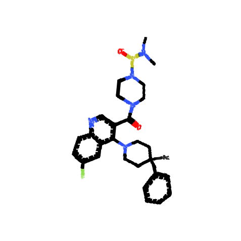 CC(=O)C1(c2ccccc2)CCN(c2c(C(=O)N3CCN([S+]([O-])N(C)C)CC3)cnc3ccc(F)cc23)CC1